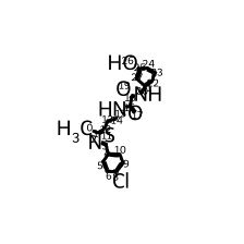 Cc1nc(-c2ccc(Cl)cc2)sc1CCNC(=O)C(=O)Nc1cccc(O)c1